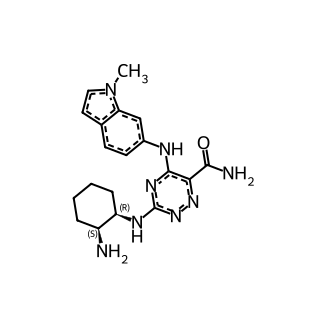 Cn1ccc2ccc(Nc3nc(N[C@@H]4CCCC[C@@H]4N)nnc3C(N)=O)cc21